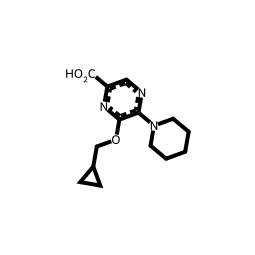 O=C(O)c1cnc(N2CCCCC2)c(OCC2CC2)n1